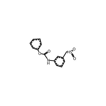 O=C(Nc1cccc(C[SH](=O)=O)c1)Oc1ccccc1